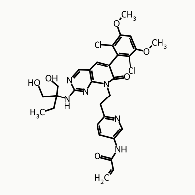 C=CC(=O)Nc1ccc(CCn2c(=O)c(-c3c(Cl)c(OC)cc(OC)c3Cl)cc3cnc(NC(CC)(CO)CO)nc32)nc1